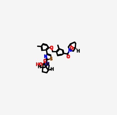 Cc1ccc(OCc2ccc(C(=O)N3CC4CC[C@@H](C3)O4)cc2C)c(-c2csc(N3C[C@H]4CC[C@@H](C3)[C@H]4C(=O)O)n2)c1